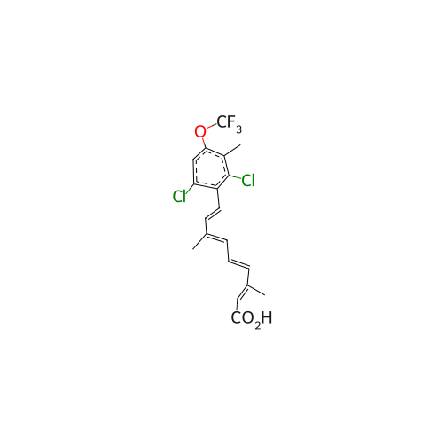 CC(C=Cc1c(Cl)cc(OC(F)(F)F)c(C)c1Cl)=CC=CC(C)=CC(=O)O